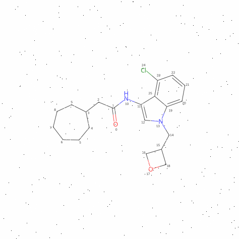 O=C(CC1CCCCCC1)Nc1cn(CC2COC2)c2cccc(Cl)c12